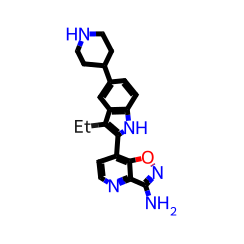 CCc1c(-c2ccnc3c(N)noc23)[nH]c2ccc(C3CCNCC3)cc12